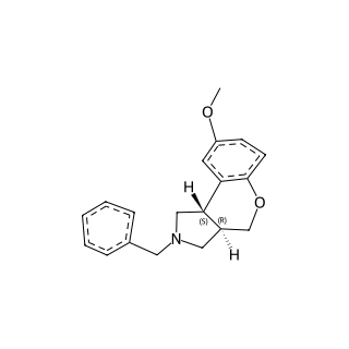 COc1ccc2c(c1)[C@H]1CN(Cc3ccccc3)C[C@@H]1CO2